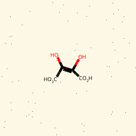 O=C(O)/C(O)=C(/O)C(=O)O